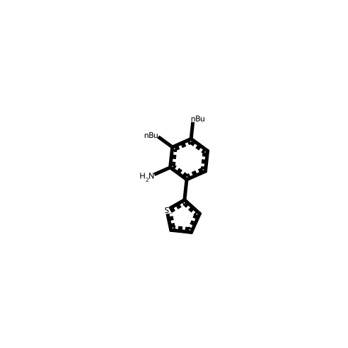 CCCCc1ccc(-c2cccs2)c(N)c1CCCC